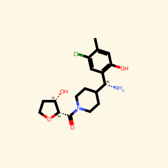 Cc1cc(O)c([C@H](N)C2CCN(C(=O)[C@@H]3OCC[C@@H]3O)CC2)cc1Cl